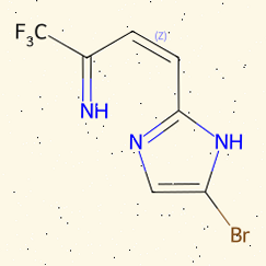 N=C(/C=C\c1ncc(Br)[nH]1)C(F)(F)F